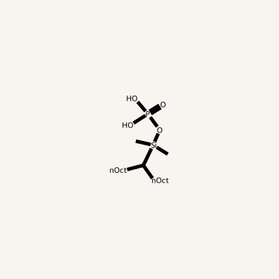 CCCCCCCCC(CCCCCCCC)[Si](C)(C)OP(=O)(O)O